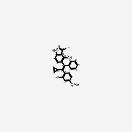 COc1ccc(/C(=C(\c2[c]cccc2)c2ccc3[nH]nc(F)c3c2C#N)C2CC2)c(F)c1